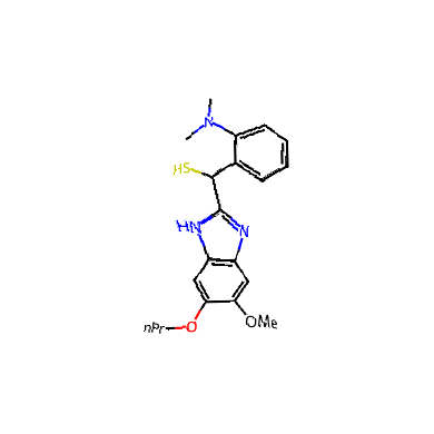 CCCOc1cc2[nH]c(C(S)c3ccccc3N(C)C)nc2cc1OC